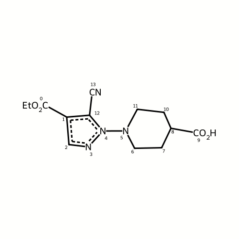 CCOC(=O)c1cnn(N2CCC(C(=O)O)CC2)c1C#N